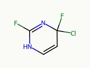 FC1=NC(F)(Cl)C=CN1